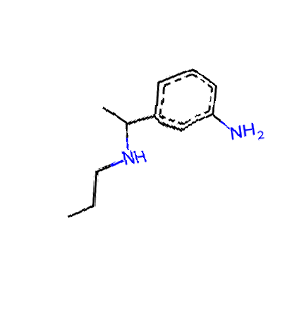 CCCNC(C)c1cccc(N)c1